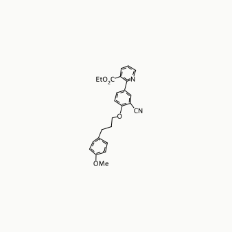 CCOC(=O)c1cccnc1-c1ccc(OCCCc2ccc(OC)cc2)c(C#N)c1